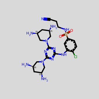 N#CCCNS(=O)(=O)c1ccc(Cl)c(Nc2nc(N3C[C@H](N)C[C@H](N)C3)nc(N3C[C@H](N)C[C@H](N)C3)n2)c1